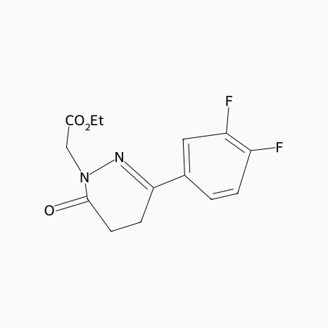 CCOC(=O)CN1N=C(c2ccc(F)c(F)c2)CCC1=O